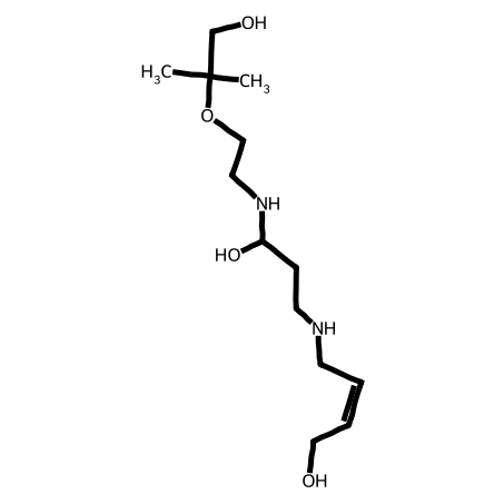 CC(C)(CO)OCCNC(O)CCNC/C=C\CO